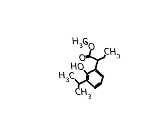 CCC(C(=O)OC)c1cccc(C(C)C)c1O